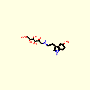 O=C(CNCCc1c[nH]c2ccc(O)cc12)C(O)C(O)C(O)CO